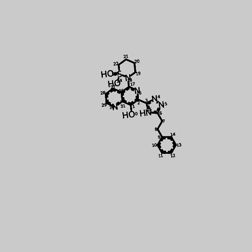 Oc1c(-c2nnc(CCc3ccccc3)[nH]2)nc(N2CCCCS2(O)O)c2cccnc12